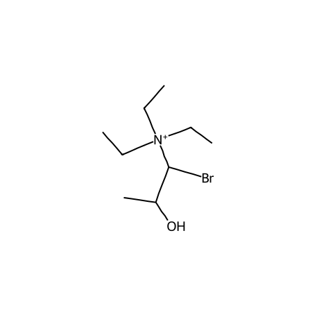 CC[N+](CC)(CC)C(Br)C(C)O